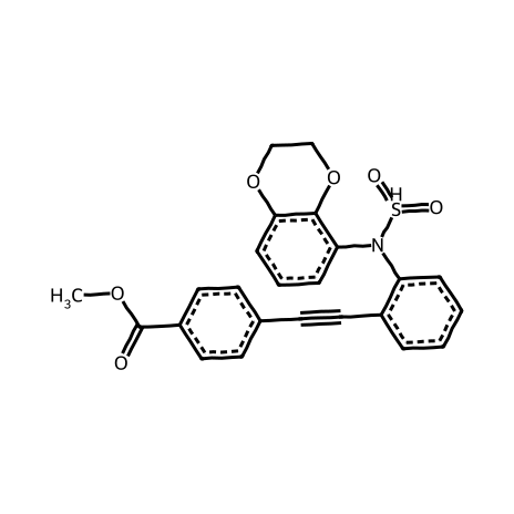 COC(=O)c1ccc(C#Cc2ccccc2N(c2cccc3c2OCCO3)[SH](=O)=O)cc1